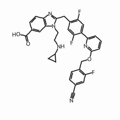 N#Cc1ccc(COc2cccc(-c3cc(F)c(Cc4nc5ccc(C(=O)O)cc5n4CCNC4CC4)cc3F)n2)c(F)c1